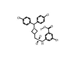 CCc1cc(NS(=O)(=O)CC2CN(C(c3ccc(Cl)cc3)c3ccc(Cl)cc3)C2)cc(C(=O)OF)c1